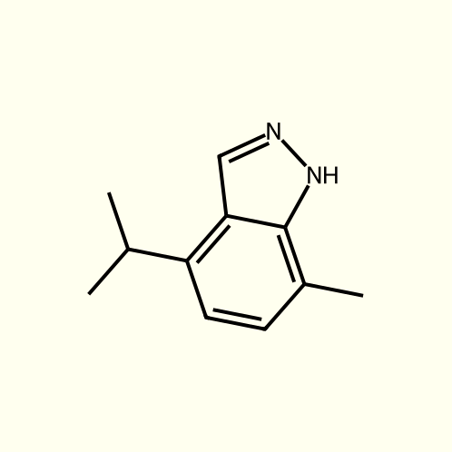 Cc1ccc(C(C)C)c2cn[nH]c12